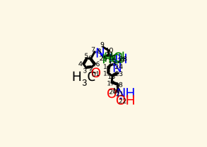 COc1cccc(CN2CC[C@@H](Nc3ccc(/C=C/C(=O)NO)cn3)C2)c1.Cl.Cl